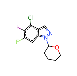 Fc1cc2c(cnn2C2CCCCO2)c(Cl)c1I